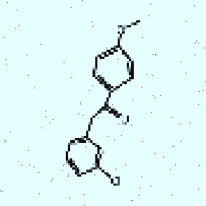 COc1ccc(C(=O)Cc2cccc(Cl)n2)cc1